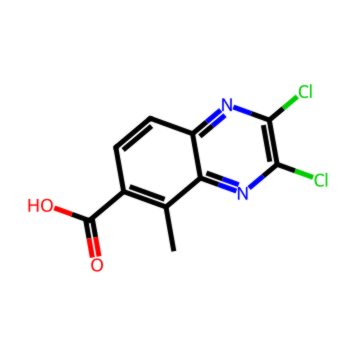 Cc1c(C(=O)O)ccc2nc(Cl)c(Cl)nc12